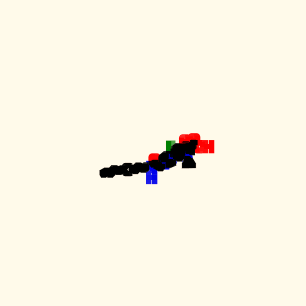 CCCCCCCCCCCCNC(=O)CN1CCN(c2cc3c(cc2F)c(=O)c(C(=O)O)cn3C2CC2)CC1